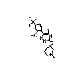 Cc1nc(S[C@@H]2CCCN(C)C2)nnc1-c1ccc(C(F)(F)F)cc1O